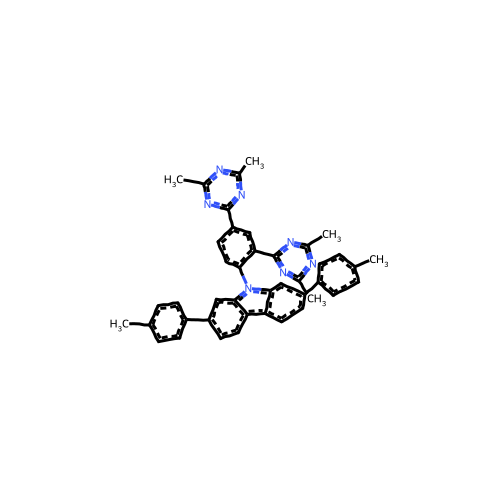 Cc1ccc(-c2ccc3c4ccc(-c5ccc(C)cc5)cc4n(-c4ccc(-c5nc(C)nc(C)n5)cc4-c4nc(C)nc(C)n4)c3c2)cc1